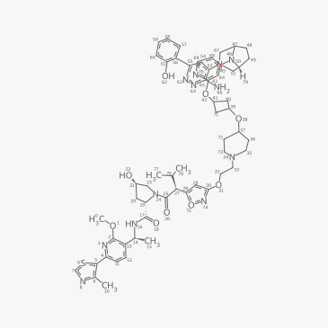 COc1nc(-c2scnc2C)ccc1[C@H](C)NC(=O)[C@@H]1C[C@@H](O)CN1C(=O)[C@H](c1cc(OCCN2CCC(OC3CC(Oc4cc(N5C6CC[C@@H]5CN(c5cc(-c7ccccc7O)nnc5N)C6)ccn4)C3)CC2)no1)C(C)C